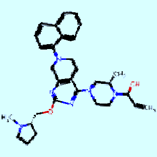 C=CC(O)N1CCN(c2nc(OC[C@@H]3CCCN3C)nc3c2CCN(c2cccc4ccccc24)C3)C[C@H]1C